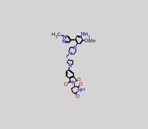 COc1cc(N2CCN(C[C@@H]3CCN(c4ccc5c(c4)C(=O)N(C4CCC(=O)NC4=O)C5=O)C3)CC2)c(-c2cnn(C)c2)cc1N